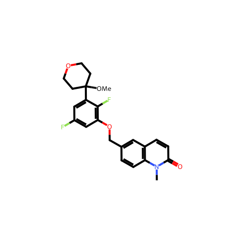 COC1(c2cc(F)cc(OCc3ccc4c(ccc(=O)n4C)c3)c2F)CCOCC1